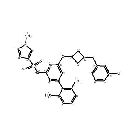 Cc1cccc(C)c1-c1cc(OC2CN(Cc3cccc(Cl)c3)C2)nc(NS(=O)(=O)c2cnn(C)c2)n1